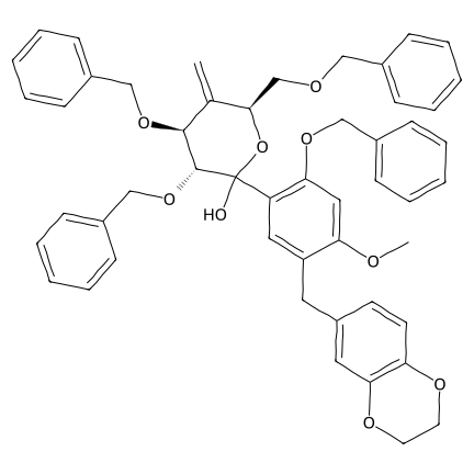 C=C1[C@@H](COCc2ccccc2)OC(O)(c2cc(Cc3ccc4c(c3)OCCO4)c(OC)cc2OCc2ccccc2)[C@H](OCc2ccccc2)[C@H]1OCc1ccccc1